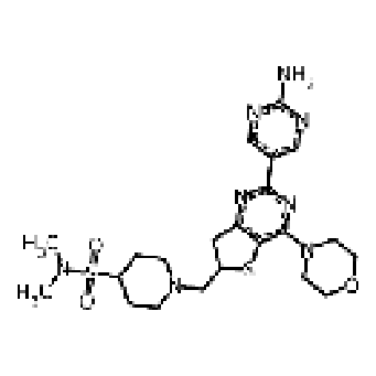 CN(C)S(=O)(=O)C1CCN(CC2Cc3nc(-c4cnc(N)nc4)nc(N4CCOCC4)c3S2)CC1